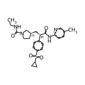 CCNC(=O)N1CC[C@H](C[C@@H](C(=O)Nc2ccc(C)cn2)c2ccc(S(=O)(=O)C3CC3)cc2)C1